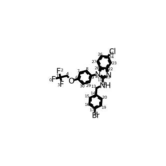 FC(F)(F)COc1ccc(-n2c(NCc3ccc(Br)cc3)nc3cc(Cl)ccc32)cc1